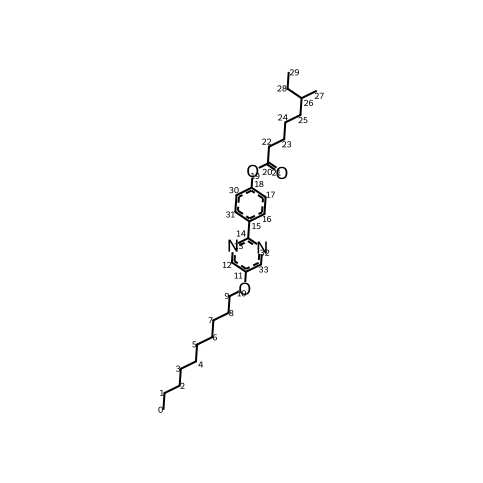 CCCCCCCCCCOc1cnc(-c2ccc(OC(=O)CCCCC(C)CC)cc2)nc1